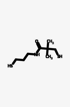 CC(C)(CS)C(=O)NCCCS